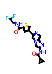 O=C(NCC(F)F)c1cc(-c2cn3cc(NC(=O)C4CC4)nc3cn2)cs1